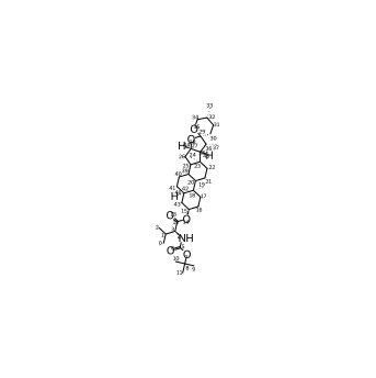 CC(C)[C@H](NC(=O)OC(C)(C)C)C(=O)O[C@@H]1CC[C@]2(C)C3CC[C@@]4(C)C(C[C@@H]5O[C@]6(CC[C@@H](C)CO6)[C@H](C)[C@@H]54)C3CC[C@@H]2C1